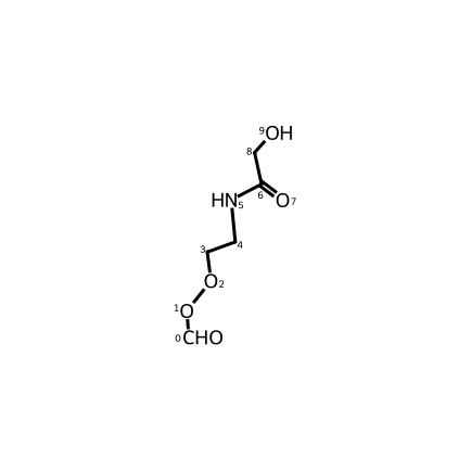 O=COOCCNC(=O)CO